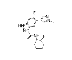 C=C(N[C@@H]1CCCCC1F)c1n[nH]c2cc(F)c(-c3cnn(C)c3)cc12